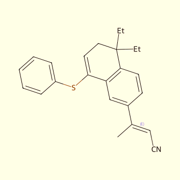 CCC1(CC)CC=C(Sc2ccccc2)c2cc(/C(C)=C/C#N)ccc21